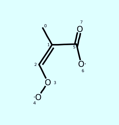 CC(=CO[O])C([O])=O